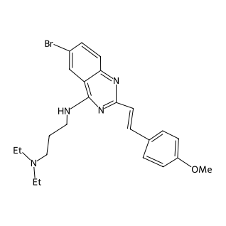 CCN(CC)CCCNc1nc(C=Cc2ccc(OC)cc2)nc2ccc(Br)cc12